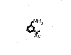 [CH2]C(=O)N(C)c1cccc(CN)c1